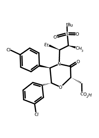 CC[C@@H]([C@H](C)S(=O)(=O)C(C)(C)C)N1C(=O)[C@H](CC(=O)O)O[C@H](c2cccc(Cl)c2)[C@H]1c1ccc(Cl)cc1